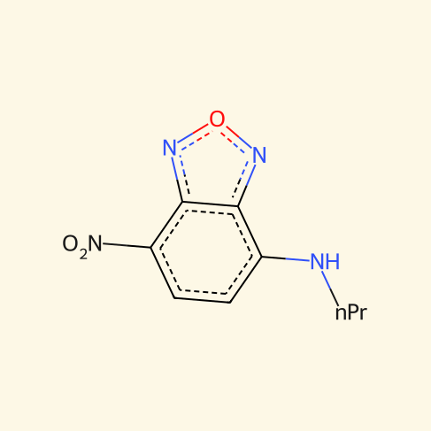 CCCNc1ccc([N+](=O)[O-])c2nonc12